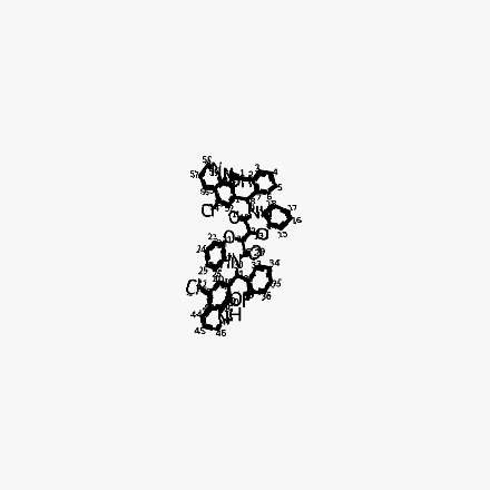 N#Cc1ccccc1C(NC(=O)C(Oc1ccccc1)C(Oc1ccccc1)C(=O)NC(c1ccccc1F)c1cc(Cl)c2cccnc2c1O)c1cc(Cl)c2cccnc2c1O